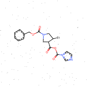 CCC1CN(C(=O)OCc2ccccc2)CC1C(=O)OC(=O)n1ccnc1